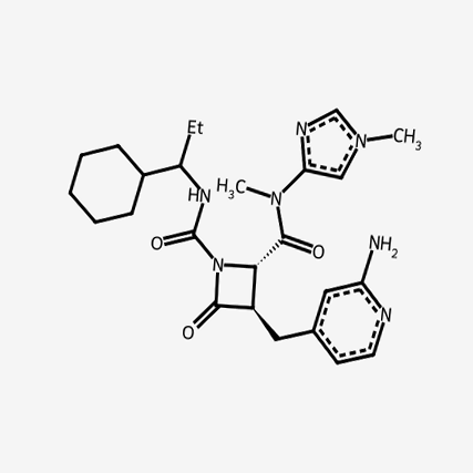 CCC(NC(=O)N1C(=O)[C@H](Cc2ccnc(N)c2)[C@H]1C(=O)N(C)c1cn(C)cn1)C1CCCCC1